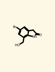 O=C1Cc2cc(Br)cc(CO)c2N1